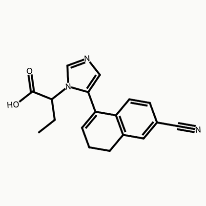 CCC(C(=O)O)n1cncc1C1=CCCc2cc(C#N)ccc21